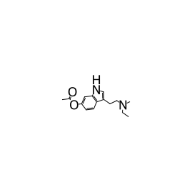 CCN(C)CCc1c[nH]c2cc(OC(C)=O)ccc12